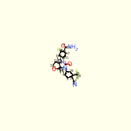 N#Cc1ccc(N2C(=O)N(c3ccc(C(N)=O)c(F)c3)[C@H]3CCOC[C@@H]32)cc1C(F)(F)F